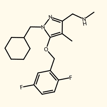 CNCc1nn(CC2CCCCC2)c(OCc2cc(F)ccc2F)c1C